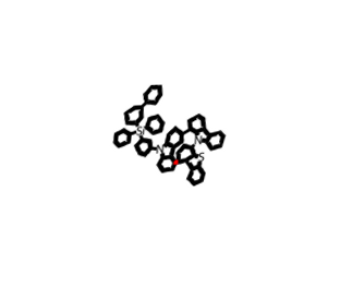 c1ccc(-c2cccc([Si](c3ccccc3)(c3ccccc3)c3cccc(-n4c5ccccc5c5cc(-c6cccc7c8ccccc8n(-c8cccc9c8sc8ccccc89)c67)ccc54)c3)c2)cc1